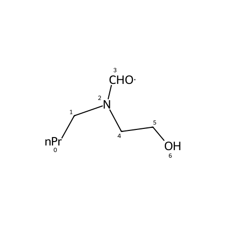 CCCCN([C]=O)CCO